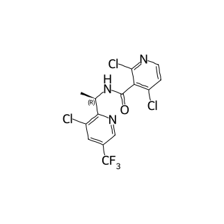 C[C@@H](NC(=O)c1c(Cl)ccnc1Cl)c1ncc(C(F)(F)F)cc1Cl